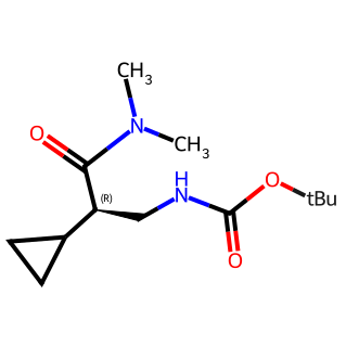 CN(C)C(=O)[C@@H](CNC(=O)OC(C)(C)C)C1CC1